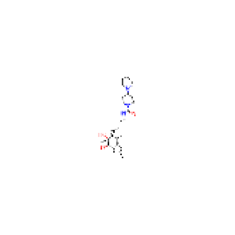 CC1=CC2=C(C)C3(CC3CCCNC(=O)N3CCC(N4CCCCC4)CC3)C(C)(O)C(=O)C2=C1